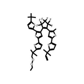 C=CC(C)(C)c1ccc(-c2cc(C3=C(c4cc(-c5ccc(C(C)(C)COOCC)s5)sc4-c4ccc(C(C)(C)C)s4)C(F)(F)C(F)(F)C3(F)F)c(C)s2)s1